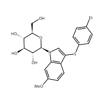 CCc1ccc(Sc2cn([C@@H]3O[C@H](CO)[C@@H](O)[C@H](O)[C@H]3O)c3cc(OC)ccc23)cc1